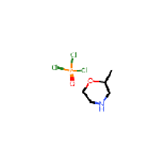 CC1CNCCO1.O=P(Cl)(Cl)Cl